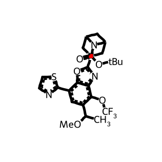 COC(C)c1cc(-c2nccs2)c2oc(N3CC4CC(C3)N4C(=O)OC(C)(C)C)nc2c1OC(F)(F)F